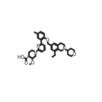 CCc1cc(COc2ccc(C)cc2-c2cccc(N3CC[C@H](C(=O)O)[C@H](OC)C3)n2)cc2c1CN(C1CCOCC1)CC2